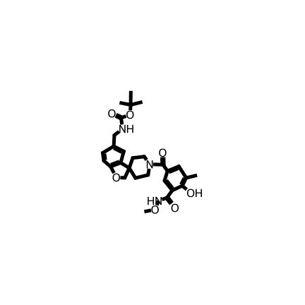 CONC(=O)c1cc(C(=O)N2CCC3(CC2)COc2ccc(CNC(=O)OC(C)(C)C)cc23)cc(C)c1O